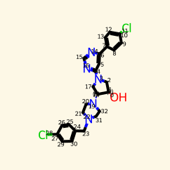 O[C@@H]1CN(c2cc(-c3ccc(Cl)cc3)ncn2)C[C@H]1N1CCN(Cc2ccc(Cl)cc2)CC1